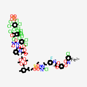 C=C(C)C1CC=C(C)CC1.CC1OC(C)OC(C)OC(C)O1.CCOP(=S)(OCC)Oc1nc(Cl)n(C(C)C)n1.COCC(=O)N(c1c(C)cccc1C)[C@H](C)C(=O)OC.CON(C)C(=O)Nc1ccc(Cl)c(Cl)c1.C[C@@H](Oc1ccc(Oc2nc3ccc(Cl)cc3o2)cc1)C(=O)N(C)c1ccccc1F.ClC1=C(Cl)C2(Cl)C3C(Cl)OC(Cl)C3C1(Cl)C2(Cl)Cl.Cl[C@H]1[C@H](Cl)[C@@H](Cl)[C@@H](Cl)[C@H](Cl)[C@H]1Cl.O=S(=O)([O-])[O-].[Fe+2]